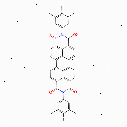 CC1=C(C)C(C)CC(N2C(=O)c3ccc4c5c(ccc(c35)C2O)-c2ccc3c5c2C4CC=C5C(=O)N(c2cc(C)c(C)c(C)c2)C3=O)=C1